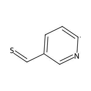 S=Cc1cc[c]nc1